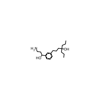 CCCC(O)(CCC)CCCc1cccc(C(O)CCN)c1